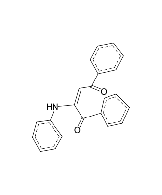 O=C(/C=C(/Nc1ccccc1)C(=O)c1ccccc1)c1ccccc1